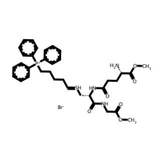 COC(=O)CNC(=O)[C@H](C[SH]=CCCCC[P+](c1ccccc1)(c1ccccc1)c1ccccc1)NC(=O)CC[C@H](N)C(=O)OC.[Br-]